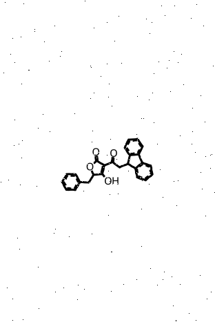 O=C(CC1c2ccccc2-c2ccccc21)C1=C(O)C(Cc2ccccc2)OC1=O